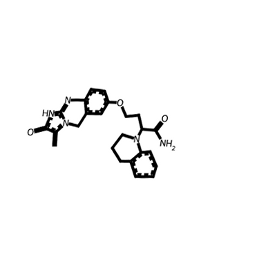 C=c1c(=O)[nH]c2n1Cc1cc(OCCC(C(N)=O)N3CCCc4ccccc43)ccc1N=2